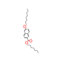 CCCCCCCCOc1ccc2cc(C(=O)O[C@@H](C)CCCCCC)ccc2c1